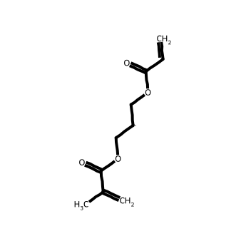 C=CC(=O)OC[CH]COC(=O)C(=C)C